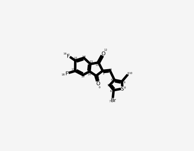 O=C1C(=Cc2cc(Br)sc2I)C(=O)c2cc(F)c(F)cc21